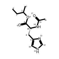 CCC(C)OC(=O)[C@@H](Cc1c[nH]cn1)NC(C)=O